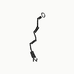 N#CC=CC=CC=O